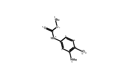 CNc1cc(NC(=O)OC(C)(C)C)ccc1[N+](=O)[O-]